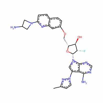 Cc1ccn(-c2cn([C@@H]3O[C@H](COc4ccc5ccc(N6CC(N)C6)nc5c4)[C@@H](O)[C@@H]3F)c3ncnc(N)c23)n1